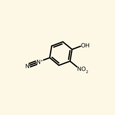 N#[N+]c1ccc(O)c([N+](=O)[O-])c1